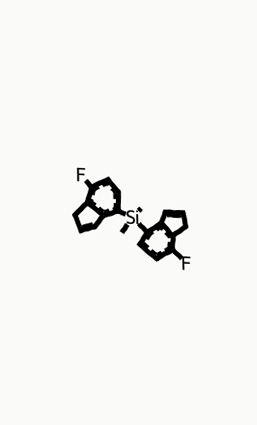 C[Si](C)(c1ccc(F)c2c1C=CC2)c1ccc(F)c2c1C=CC2